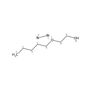 BrBr.CCCCCOCCO